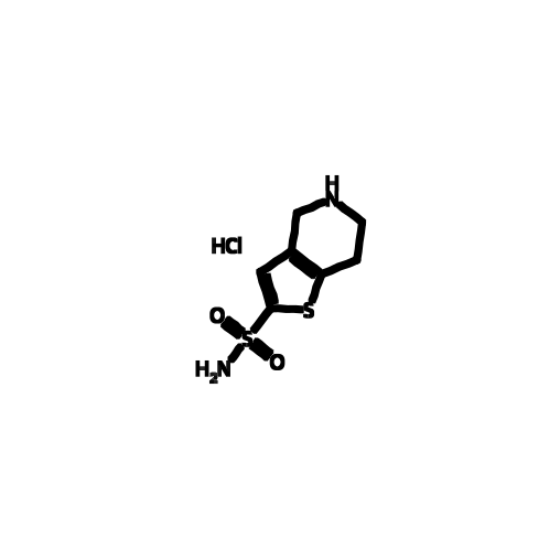 Cl.NS(=O)(=O)c1cc2c(s1)CCNC2